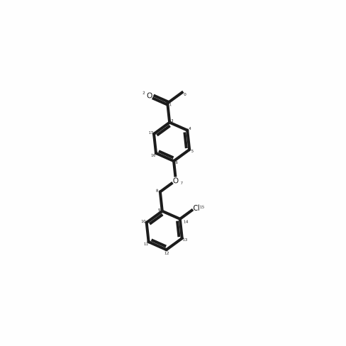 CC(=O)c1ccc(OCc2ccccc2Cl)cc1